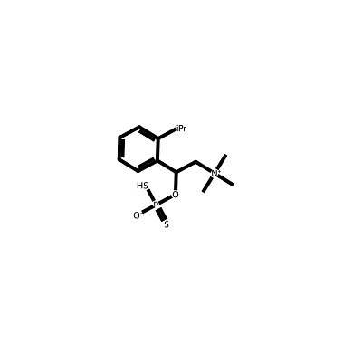 CC(C)c1ccccc1C(C[N+](C)(C)C)OP([O-])(=S)S